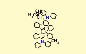 Cc1cccc(N(c2ccccc2)c2cc3c(c4ccccc24)-c2c(c4ccc(N(c5ccccc5)c5cccc([Si](C)(C)C)c5)cc4c4ccccc24)C3(c2ccccc2)c2ccccc2)c1